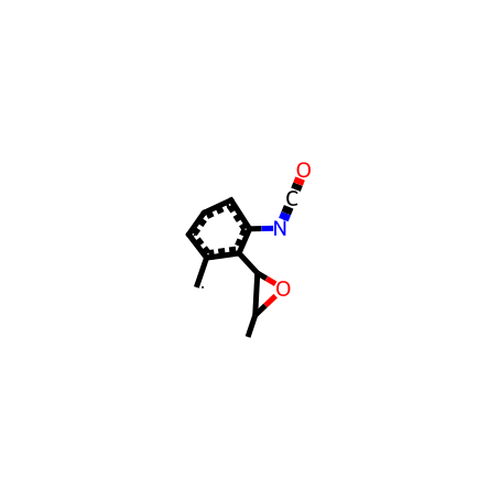 [CH2]c1cccc(N=C=O)c1C1OC1C